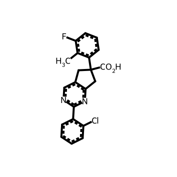 Cc1c(F)cccc1C1(C(=O)O)Cc2cnc(-c3ccccc3Cl)nc2C1